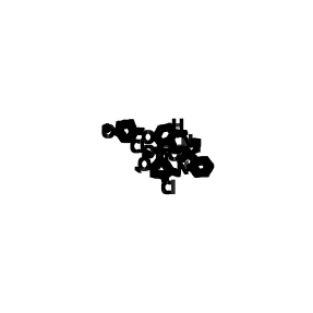 COC(=O)[C@@H]1[C@H]2C[C@@H]3N(CC[C@@]34C(=O)N(Cc3ccc(OC)cc3Cl)c3ccccc34)C[C@@H]2CC[C@@H]1OCc1ccc(OC)cc1Cl